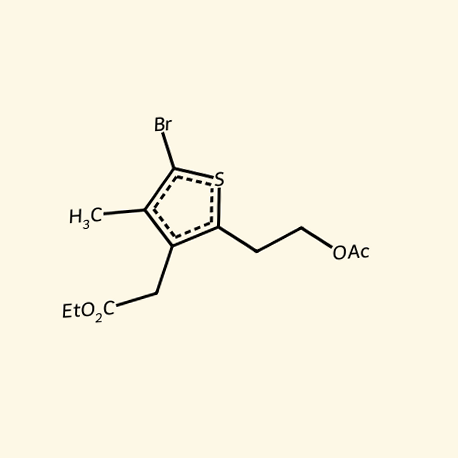 CCOC(=O)Cc1c(CCOC(C)=O)sc(Br)c1C